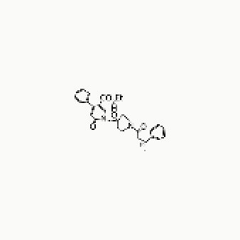 CCOC(=O)c1cn(CC2(O)CCN(C(=O)C[C@@H](C)c3ccccc3)CC2)c(=O)cc1-c1ccccc1